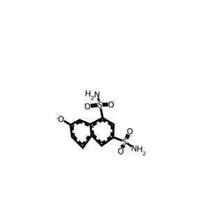 NS(=O)(=O)c1cc(S(N)(=O)=O)c2cc([O])ccc2c1